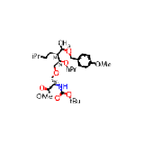 CCCO[C@@H](COC[C@H](NC(=O)OC(C)(C)C)C(=O)OC)[C@@H](CCC(C)C)C(C)OCc1ccc(OC)cc1